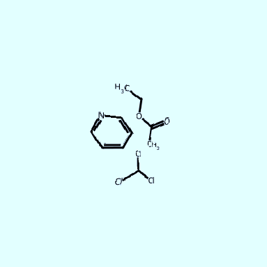 CCOC(C)=O.ClC(Cl)Cl.c1ccncc1